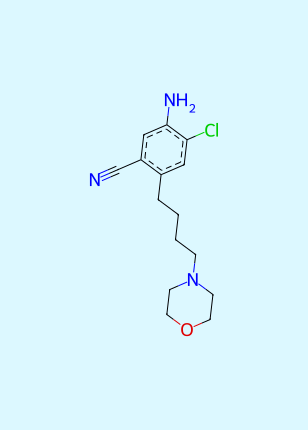 N#Cc1cc(N)c(Cl)cc1CCCCN1CCOCC1